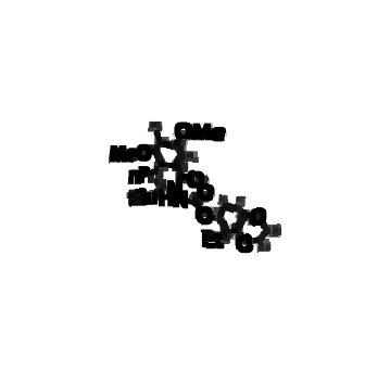 CCCC(N(NC(=O)Oc1ccc2c(c1CC)OCCO2)C(=O)c1cc(OC)c(C)c(OC)c1)C(C)(C)C